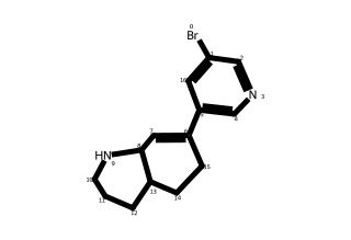 Brc1cncc(C2=CC3NCCCC3CC2)c1